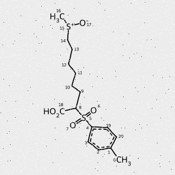 Cc1ccc(S(=O)(=O)C(CCCCCC[S+](C)[O-])C(=O)O)cc1